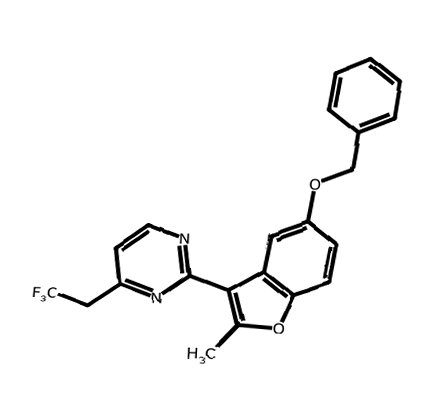 Cc1oc2ccc(OCc3ccccc3)cc2c1-c1nccc(CC(F)(F)F)n1